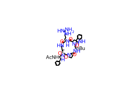 CCCC[C@H]1NC(=O)C2CCCN2C(=O)[C@@H](NC(=O)[C@H](Cc2ccccc2)NC(C)=O)CCCNC(=O)C(CCCNC(=N)N)NC(=O)C(Cc2c[nH]c3ccccc23)NC1=O